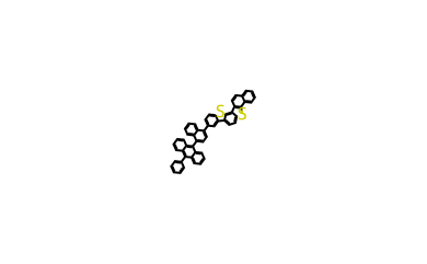 c1ccc(-c2c3ccccc3c(-c3ccc(-c4ccc5sc6c(ccc7sc8c9ccccc9ccc8c76)c5c4)c4ccccc34)c3ccccc23)cc1